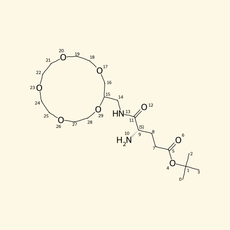 CC(C)(C)OC(=O)CC[C@H](N)C(=O)NCC1COCCOCCOCCOCCO1